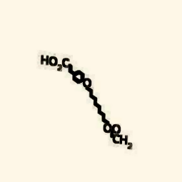 C=CC(=O)OCCCCCCCCCCOc1ccc(C=CC(=O)O)cc1